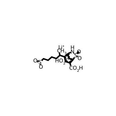 CC(CCCC[S-](=O)=O)c1cc(C(=O)O)c2c(C(=O)O)c1NS2(=O)=O.[Li+]